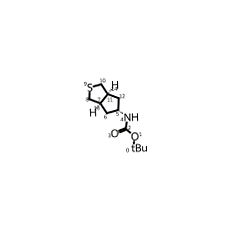 CC(C)(C)OC(=O)N[C@@H]1C[C@H]2CSC[C@H]2C1